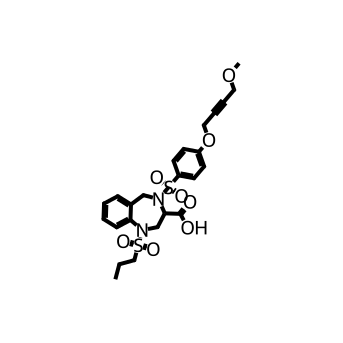 CCCS(=O)(=O)N1CC(C(=O)O)N(S(=O)(=O)c2ccc(OCC#CCOC)cc2)Cc2ccccc21